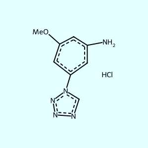 COc1cc(N)cc(-n2cnnn2)c1.Cl